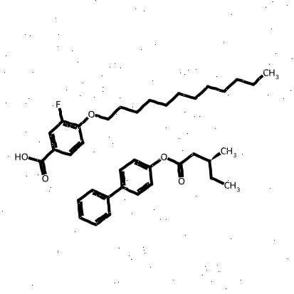 CCCCCCCCCCCCOc1ccc(C(=O)O)cc1F.CC[C@H](C)CC(=O)Oc1ccc(-c2ccccc2)cc1